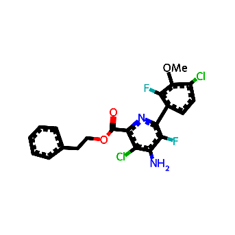 COc1c(Cl)ccc(-c2nc(C(=O)OCCc3ccccc3)c(Cl)c(N)c2F)c1F